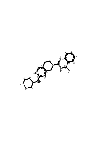 C[C@@H](NC(=O)N1CCc2cnc(NC3CCOCC3)nc2C1)c1ccccc1